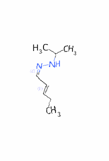 CC/C=C/C=N\NC(C)C